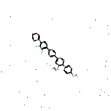 Cc1ccc(-c2ccc(-c3ccc(-c4ccc(-c5ccccc5)c(F)c4F)cc3)cc2C)cc1